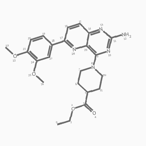 CCOC(=O)C1CCN(c2nc(N)nc3ccc(-c4ccc(OC)c(OC)c4)nc23)CC1